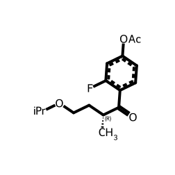 CC(=O)Oc1ccc(C(=O)[C@H](C)CCOC(C)C)c(F)c1